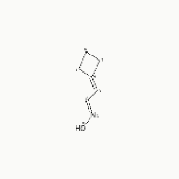 O/N=C/C=C1CCC1